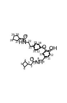 O=C(CC1CCC1)NCCc1ccc(O)c(Oc2ccc(CCNC(=O)C3CCCC3)cc2)c1